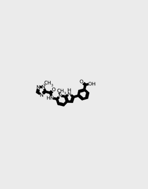 CN1c2[nH]c(-c3cccc(C(=O)O)c3)cc2C=CC1NC(=O)c1ncnn1C